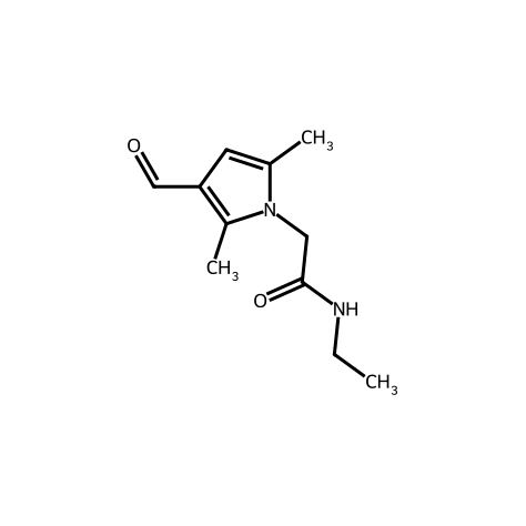 CCNC(=O)Cn1c(C)cc(C=O)c1C